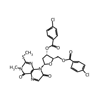 CSc1nc2c(ncc(=O)n2[C@H]2C[C@H](OC(=O)c3ccc(Cl)cc3)[C@@H](COC(=O)c3ccc(Cl)cc3)O2)c(=O)n1C